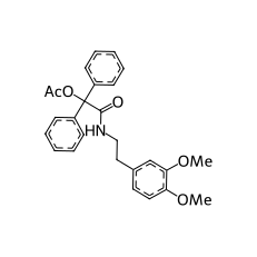 COc1ccc(CCNC(=O)C(OC(C)=O)(c2ccccc2)c2ccccc2)cc1OC